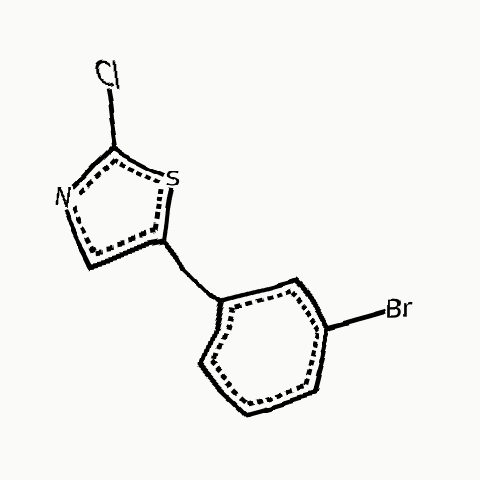 Clc1ncc(-c2cccc(Br)c2)s1